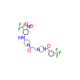 O=C(CCN1CCN(C(=O)c2cccc(C(F)(F)F)c2)CC1)N1CCC(Nc2ccc([N+](=O)[O-])c(C(F)(F)F)c2)CC1